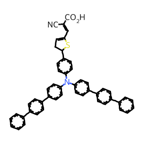 N#C/C(=C\C1=CCC(c2ccc(N(c3ccc(-c4ccc(-c5ccccc5)cc4)cc3)c3ccc(-c4ccc(-c5ccccc5)cc4)cc3)cc2)S1)C(=O)O